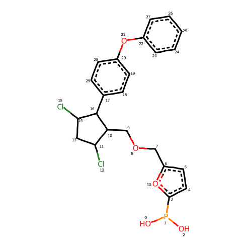 OP(O)c1ccc(COCC2C(Cl)CC(Cl)C2c2ccc(Oc3ccccc3)cc2)o1